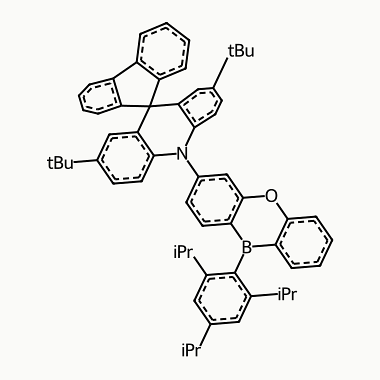 CC(C)c1cc(C(C)C)c(B2c3ccccc3Oc3cc(N4c5ccc(C(C)(C)C)cc5C5(c6ccccc6-c6ccccc65)c5cc(C(C)(C)C)ccc54)ccc32)c(C(C)C)c1